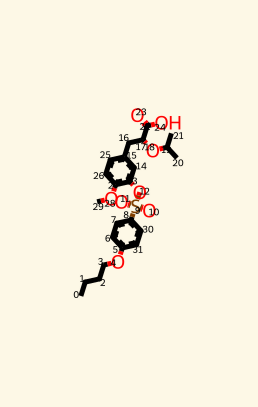 CCCCOc1ccc(S(=O)(=O)Oc2cc(CC(OC(C)C)C(=O)O)ccc2OC)cc1